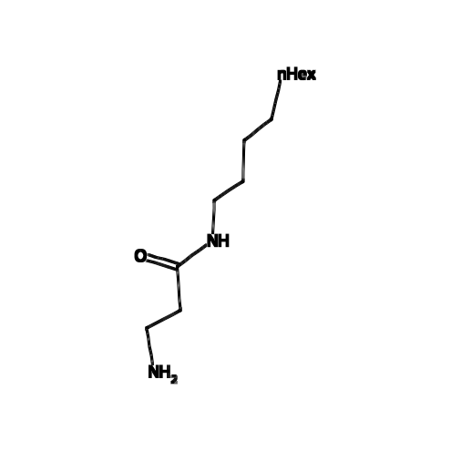 CCCCCCCCCCNC(=O)CCN